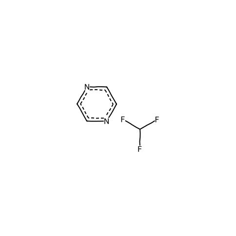 FC(F)F.c1cnccn1